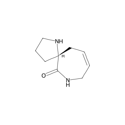 O=C1NCC=CC[C@]12CCCN2